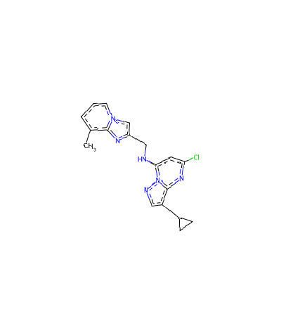 Cc1cccn2cc(CNc3cc(Cl)nc4c(C5CC5)cnn34)nc12